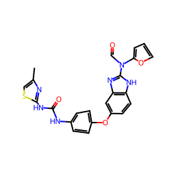 Cc1csc(NC(=O)Nc2ccc(Oc3ccc4[nH]c(N(C=O)c5ccco5)nc4c3)cc2)n1